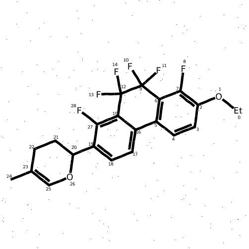 CCOc1ccc2c(c1F)C(F)(F)C(F)(F)c1c-2ccc(C2CCC(C)=CO2)c1F